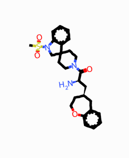 CS(=O)(=O)N1CC2(CCN(C(=O)[C@H](N)C[C@@H]3CCOc4ccccc4C3)CC2)c2ccccc21